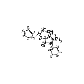 Cc1c(OC(CCc2ccccc2)C(=O)O)c(=O)n(-c2ccccc2)n1C